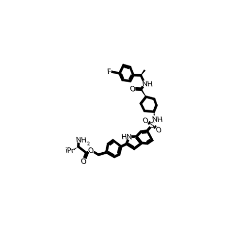 CC(C)[C@H](N)C(=O)OCc1ccc(-c2cc3ccc(S(=O)(=O)N[C@H]4CC[C@H](C(=O)N[C@H](C)c5ccc(F)cc5)CC4)cc3[nH]2)cc1